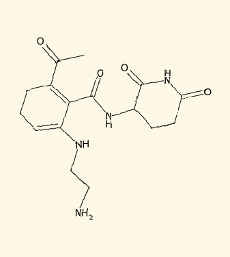 CC(=O)C1=C(C(=O)NC2CCC(=O)NC2=O)C(NCCN)=CCC1